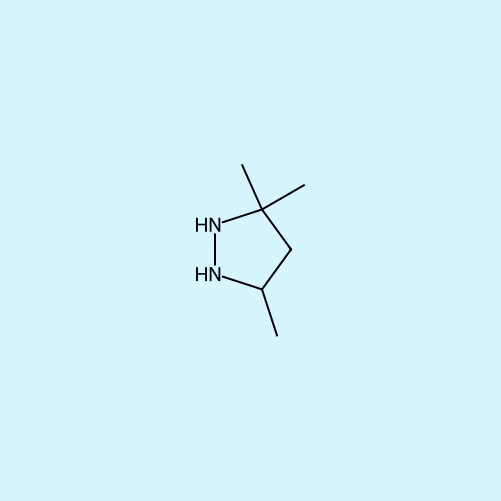 CC1CC(C)(C)NN1